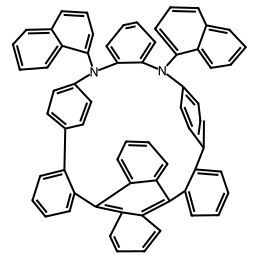 c1ccc2c(-n3c4ccc(cc4)c4ccccc4c4c5ccccc5c(c5ccccc5c5ccc(cc5)n(-c5cccc6ccccc56)c5ccccc53)c3ccccc34)cccc2c1